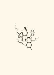 CCCCc1n[nH]c(C(C(=O)OC2C(CCCC)CC(C)CC2CCCC)C(C#N)C2OCO2)n1